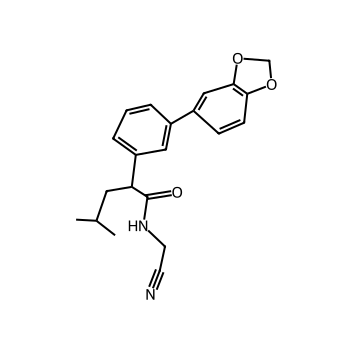 CC(C)CC(C(=O)NCC#N)c1cccc(-c2ccc3c(c2)OCO3)c1